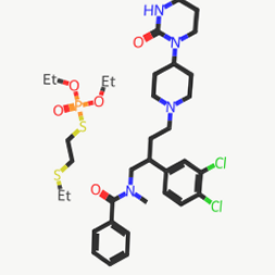 CCOP(=O)(OCC)SCCSCC.CN(CC(CCN1CCC(N2CCCNC2=O)CC1)c1ccc(Cl)c(Cl)c1)C(=O)c1ccccc1